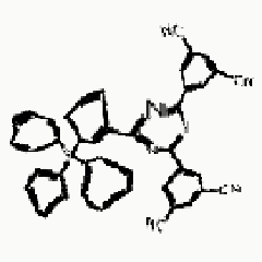 N#Cc1cc(C#N)cc(-c2nc(-c3cc(C#N)cc(C#N)c3)nc(-c3cccc([Si](c4ccccc4)(c4ccccc4)c4ccccc4)c3)n2)c1